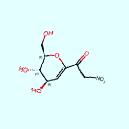 O=C(C[N+](=O)[O-])C1=C[C@@H](O)[C@H](O)[C@@H](CO)O1